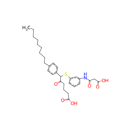 CCCCCCCCCc1ccc(C(Sc2cccc(NC(=O)CC(=O)O)c2)C(=O)CCCC(=O)O)cc1